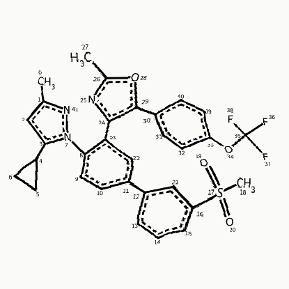 Cc1cc(C2CC2)n(-c2ccc(-c3cccc(S(C)(=O)=O)c3)cc2-c2nc(C)oc2-c2ccc(OC(F)(F)F)cc2)n1